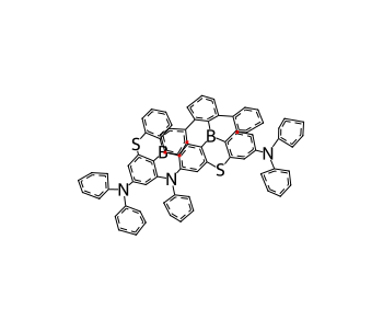 c1ccc(-c2cccc(-c3ccccc3)c2B2c3ccc(N(c4ccccc4)c4ccccc4)cc3Sc3cc4c(cc32)B2c3ccccc3Sc3cc(N(c5ccccc5)c5ccccc5)cc(c32)N4c2ccccc2)cc1